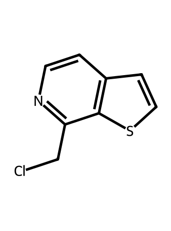 ClCc1nccc2ccsc12